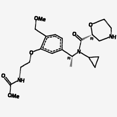 COCc1ccc([C@@H](C)N(C(=O)[C@H]2CNCCO2)C2CC2)cc1OCCNC(=O)OC